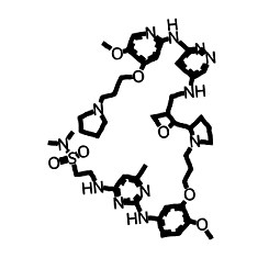 COc1cnc(Nc2cc(NCC3COC3C3CCCN3CCCOc3cc(Nc4nc(C)cc(NCCS(=O)(=O)N(C)C)n4)ccc3OC)cnn2)cc1OCCCN1CCCC1